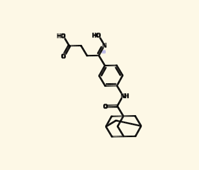 O=C(O)CC/C(=N\O)c1ccc(NC(=O)C23CC4CC(CC(C4)C2)C3)cc1